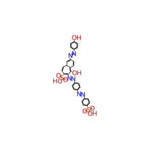 O=S(=O)(O)C1=C(N=Nc2ccc(N=Nc3ccc(S(=O)(=O)O)cc3)cc2)C(O)=C2C=CC(N=Nc3ccc(O)cc3)=CC2C=C1